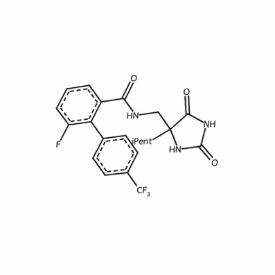 CCCC(C)C1(CNC(=O)c2cccc(F)c2-c2ccc(C(F)(F)F)cc2)NC(=O)NC1=O